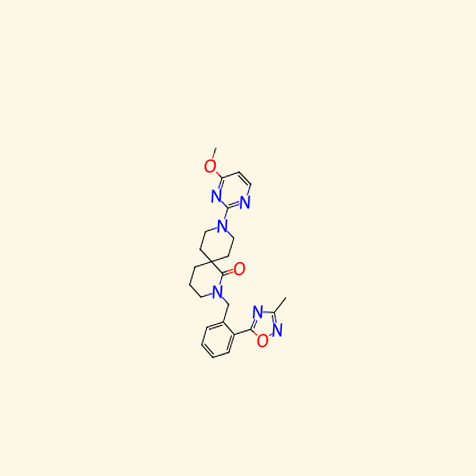 COc1ccnc(N2CCC3(CCCN(Cc4ccccc4-c4nc(C)no4)C3=O)CC2)n1